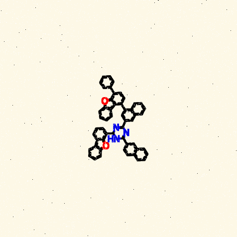 c1ccc(-c2ccc(-c3cc(C4=NC(c5cccc6c5oc5ccccc56)NC(c5ccc6ccccc6c5)=N4)cc4ccccc34)c3c2oc2ccccc23)cc1